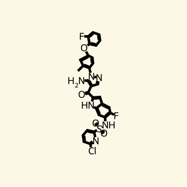 Cc1cc(Oc2ccccc2F)ccc1-n1ncc(C(=O)c2cc3cc(F)c(NS(=O)(=O)c4cccc(Cl)n4)cc3[nH]2)c1N